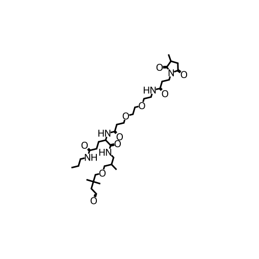 CCCNC(=O)CCC(NC(=O)CCOCCOCCNC(=O)CCN1C(=O)CC(C)C1=O)C(=O)NCC(C)COCC(C)(C)CC=O